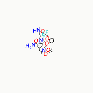 CNC(=O)CCCN1CCc2cc(CC(C)N(CCOc3ccccc3OCC(F)(F)F)C(=O)OC(C)(C)C)cc(C(N)=O)c21